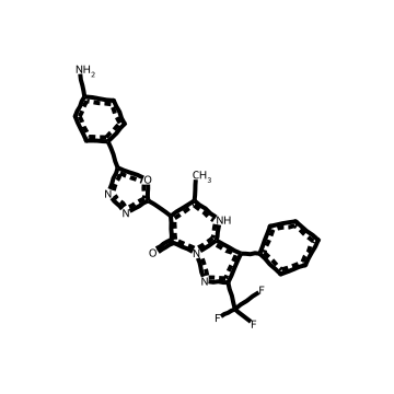 Cc1[nH]c2c(-c3ccccc3)c(C(F)(F)F)nn2c(=O)c1-c1nnc(-c2ccc(N)cc2)o1